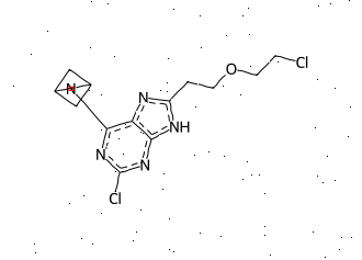 ClCCOCCc1nc2c(N3CC4CC3C4)nc(Cl)nc2[nH]1